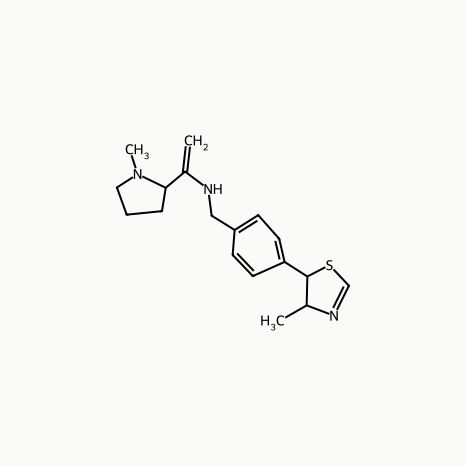 C=C(NCc1ccc(C2SC=NC2C)cc1)C1CCCN1C